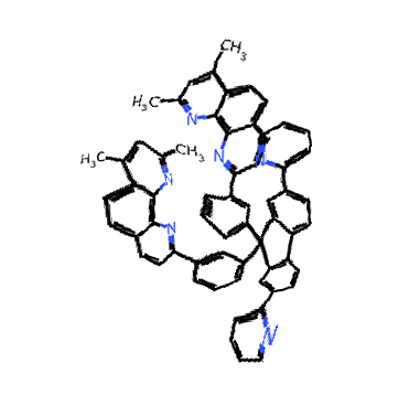 Cc1cc(C)c2ccc3ccc(-c4cccc(C5(c6cccc(-c7ccc8ccc9c(C)cc(C)nc9c8n7)c6)c6cc(-c7ccccn7)ccc6-c6ccc(-c7ccccn7)cc65)c4)nc3c2n1